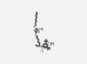 CCCCCCCCSc1nc(SCCCCCC(CC)Nc2cc(C(C)(C)C)c(O)c(C(C)(C)C)c2)n[nH]1